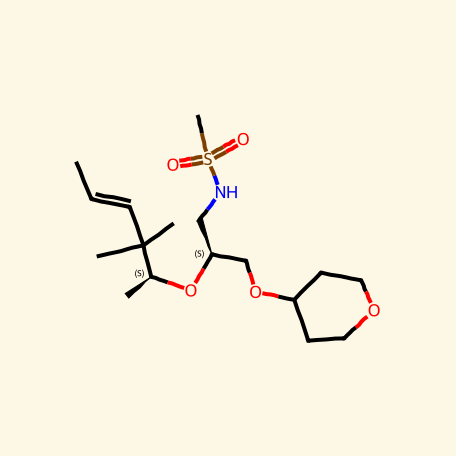 CC=CC(C)(C)[C@H](C)O[C@@H](CNS(C)(=O)=O)COC1CCOCC1